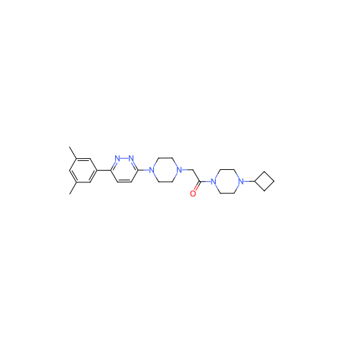 Cc1cc(C)cc(-c2ccc(N3CCN(CC(=O)N4CCN(C5CCC5)CC4)CC3)nn2)c1